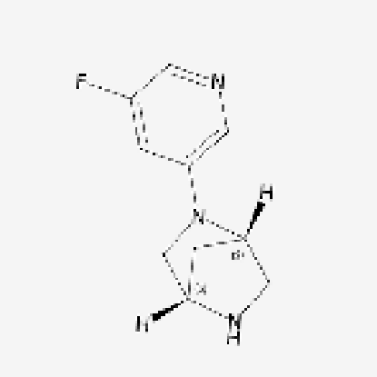 Fc1cncc(N2C[C@@H]3C[C@H]2CN3)c1